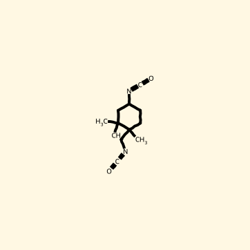 CC1(C)CC(N=C=O)CCC1(C)CN=C=O